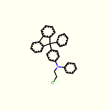 ClCCN(c1ccccc1)c1ccc(C2(c3ccccc3)c3ccccc3-c3ccccc32)cc1